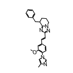 COc1cc(C=Cc2nc3n(n2)CCCC3Cc2ccccc2)ccc1-n1cnc(C)c1